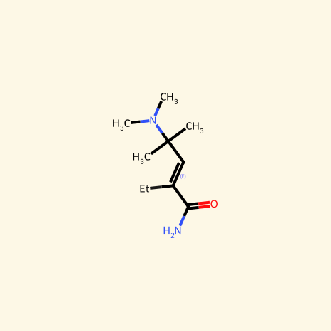 CC/C(=C\C(C)(C)N(C)C)C(N)=O